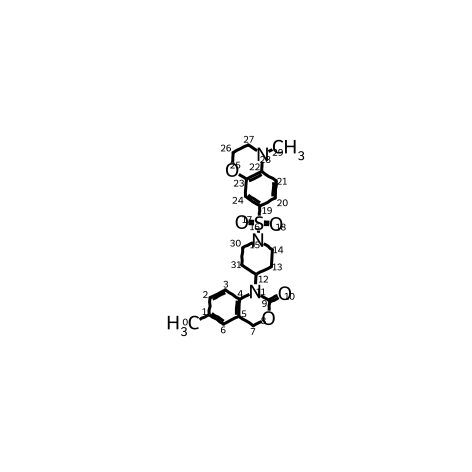 Cc1ccc2c(c1)COC(=O)N2C1CCN(S(=O)(=O)c2ccc3c(c2)OCCN3C)CC1